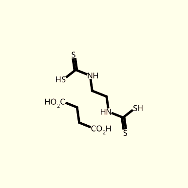 O=C(O)CCC(=O)O.S=C(S)NCCNC(=S)S